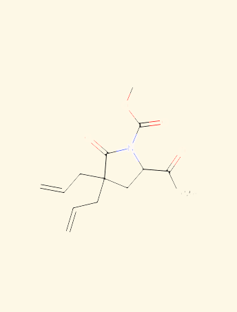 C=CCC1(CC=C)CC(C(=O)OC)N(C(=O)OC(C)(C)C)C1=O